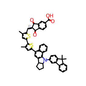 Cc1cc(-c2sc(-c3cc4c(c5ccccc35)N(c3ccc5c(c3)-c3ccccc3C5(C)C)C3CCCC43)cc2C)sc1/C=C1\C(=O)c2ccc(C(=O)O)cc2C1=O